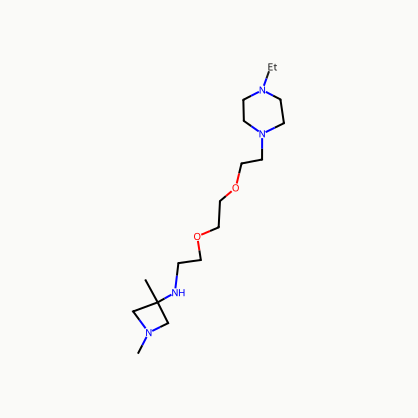 CCN1CCN(CCOCCOCCNC2(C)CN(C)C2)CC1